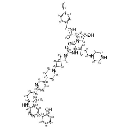 C#Cc1ccc(CNC(=O)[C@@H]2C[C@@H](O)CN2C(=O)[C@H](NC(=O)N2CC3(CC(N4CCC(c5cnc(N6CCc7[nH]c8nnc(-c9ccccc9O)cc8c7[C@H]6C)nc5)CC4)C3)C2)C(C)(C)CCN2CCNCC2)cc1